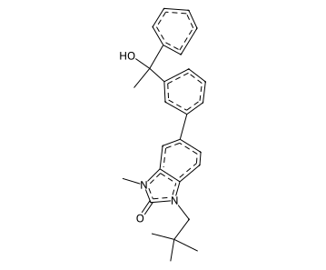 Cn1c(=O)n(CC(C)(C)C)c2ccc(-c3cccc(C(C)(O)c4ccccc4)c3)cc21